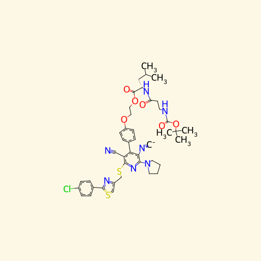 [C-]#[N+]c1c(N2CCCC2)nc(SCc2csc(-c3ccc(Cl)cc3)n2)c(C#N)c1-c1ccc(OCCOC(=O)[C@H](CC(C)C)NC(=O)CCNC(=O)OC(C)(C)C)cc1